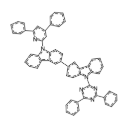 c1ccc(-c2cc(-c3ccccc3)nc(-n3c4ccccc4c4cc(-c5ccc6c(c5)c5ccccc5n6-c5nc(-c6ccccc6)nc(-c6ccccc6)n5)ccc43)c2)cc1